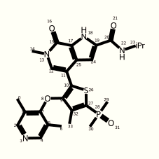 Cc1cncc(C)c1Oc1c(-c2cn(C)c(=O)c3[nH]c(C(=O)NC(C)C)cc23)sc(P(C)(C)=O)c1C